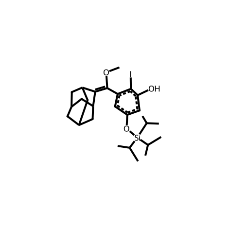 COC(=C1C2CC3CC(C2)CC1C3)c1cc(O[Si](C(C)C)(C(C)C)C(C)C)cc(O)c1I